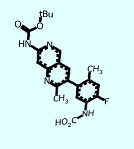 Cc1cc(F)c(NC(=O)O)cc1-c1cc2cnc(NC(=O)OC(C)(C)C)cc2nc1C